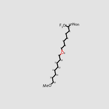 CCCCCCCCCC(CCCCCCOCCCCCCCCOC)C(F)(F)F